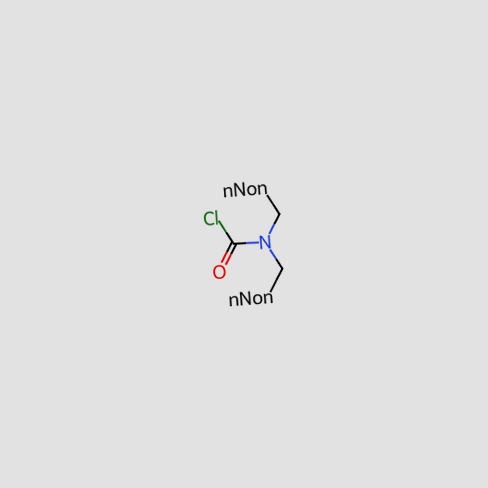 CCCCCCCCCCN(CCCCCCCCCC)C(=O)Cl